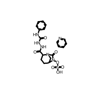 O=C(NNC(=O)C1CCC2CN1C(=O)N2OS(=O)(=O)O)Nc1ccccc1.c1ccncc1